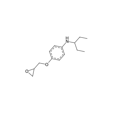 CCC(CC)Nc1ccc(OCC2CO2)cc1